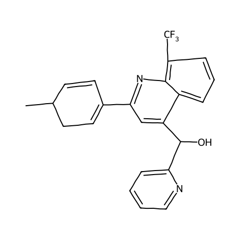 CC1C=CC(c2cc(C(O)c3ccccn3)c3cccc(C(F)(F)F)c3n2)=CC1